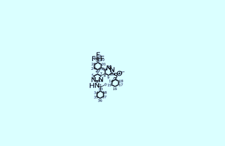 CC(Nc1nccc(-c2cc([S@@+]([O-])c3ccccc3)nnc2-c2cccc(C(F)(F)F)c2)n1)c1ccccc1